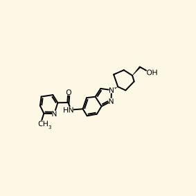 Cc1cccc(C(=O)Nc2ccc3nn([C@H]4CC[C@H](CO)CC4)cc3c2)n1